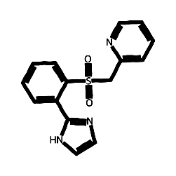 O=S(=O)(Cc1ccccn1)c1ccccc1-c1ncc[nH]1